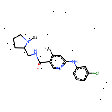 CCN1CCCC1CNC(=O)c1cnc(Nc2cccc(Cl)c2)cc1C(F)(F)F